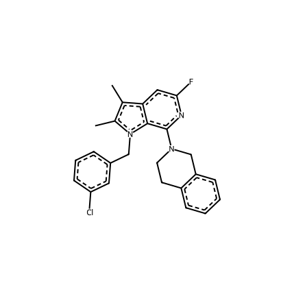 Cc1c(C)n(Cc2cccc(Cl)c2)c2c(N3CCc4ccccc4C3)nc(F)cc12